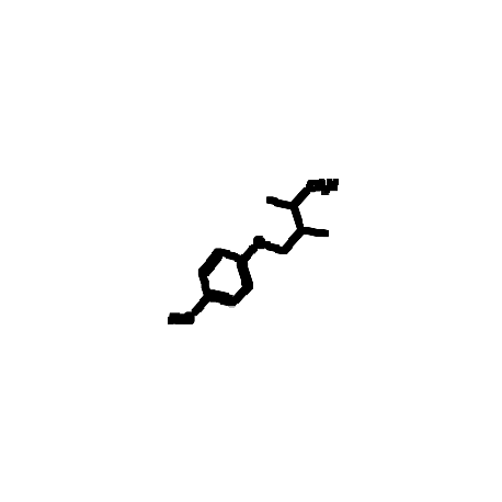 COc1ccc(OCC(C)C(C)C(=O)O)cc1